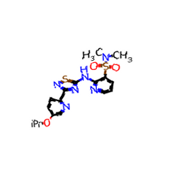 CC(C)Oc1ccc(-c2nsc(Nc3ncccc3S(=O)(=O)N(C)C)n2)nc1